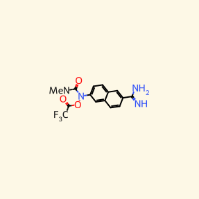 CNC(=O)N(OC(=O)C(F)(F)F)c1ccc2cc(C(=N)N)ccc2c1